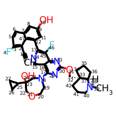 C#Cc1c(F)ccc2cc(O)cc(-c3ncc4c(N5CCOCC(O)(C6CC6)C5)nc(OC[C@]56CCC[C@H]5N(C)CCC6)nc4c3F)c12